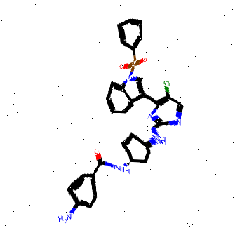 Nc1ccc(C(=O)N[C@@H]2CCC(Nc3ncc(Cl)c(-c4cn(S(=O)(=O)c5ccccc5)c5ccccc45)n3)C2)cc1